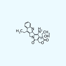 CCc1c2c(nc3ccccc13)-c1c(N)c3c(c(=O)n1C2)COC(=O)[C@]3(O)CC